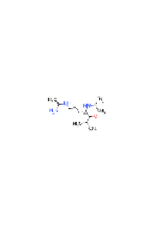 C=C(N)NCCC[C@H](NC(C)C)C(=O)C(C)C